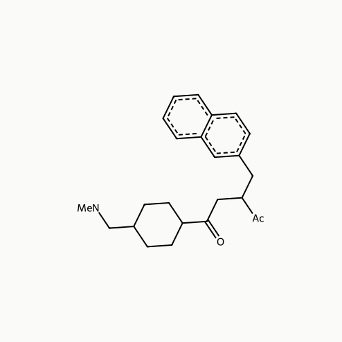 CNCC1CCC(C(=O)CC(Cc2ccc3ccccc3c2)C(C)=O)CC1